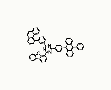 c1ccc(-c2c3ccccc3c(-c3ccc(-c4nc(-c5cccc(-c6cccc7ccc8ccccc8c67)c5)nc(-c5cccc6c5oc5ccccc56)n4)cc3)c3ccccc23)cc1